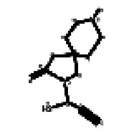 C#CC(S)N1CC2(CCN(C)CC2)CC1=C